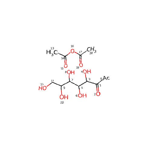 CC(=O)C(=O)C(O)C(O)C(O)C(O)CO.CC(=O)OC(C)=O